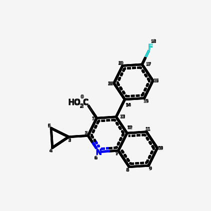 O=C(O)c1c(C2CC2)nc2ccccc2c1-c1ccc(F)cc1